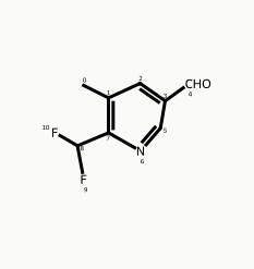 Cc1cc(C=O)cnc1C(F)F